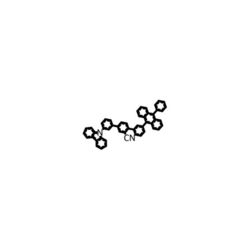 N#Cc1cc(-c2cccc(-n3c4ccccc4c4ccccc43)c2)ccc1-c1cccc(-c2c3ccccc3c(-c3ccccc3)c3ccccc23)c1